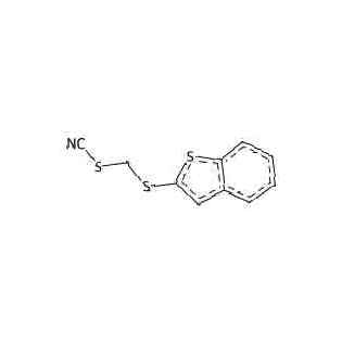 N#CSCSc1cc2ccccc2s1